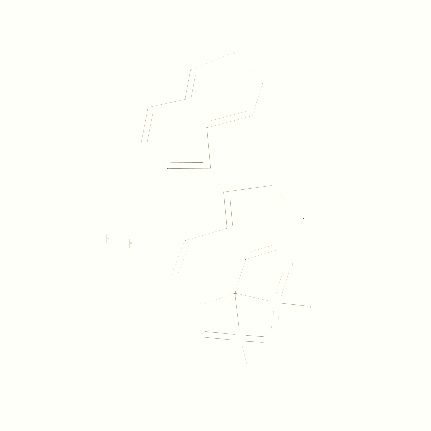 O=S(=O)([O-])C1(S(=O)(=O)[O-])CC=Cc2c(-c3cccc4ccccc34)cccc21.[K+].[K+]